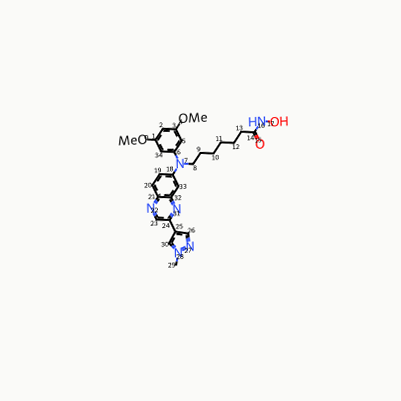 COc1cc(OC)cc(N(CCCCCCC(=O)NO)c2ccc3ncc(-c4cnn(C)c4)nc3c2)c1